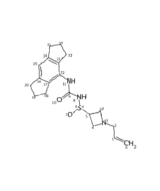 C=CCN1CC([S+]([O-])NC(=O)Nc2c3c(cc4c2CCC4)CCC3)C1